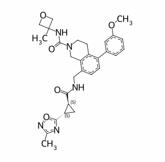 COc1cccc(-c2ccc(CNC(=O)[C@H]3C[C@@H]3c3nc(C)no3)c3c2CCN(C(=O)NC2(C)COC2)C3)c1